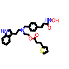 O=C(/C=C/c1ccc(CN(CCOC(=O)CCc2cccs2)CCc2c[nH]c3ccccc23)cc1)NO